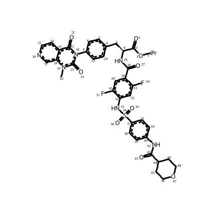 CC(C)OC(=O)[C@H](Cc1ccc(-n2c(=O)c3ccncc3n(C)c2=O)cc1)NC(=O)c1cc(F)c(NS(=O)(=O)c2ccc(NC(=O)C3CCOCC3)cc2)cc1F